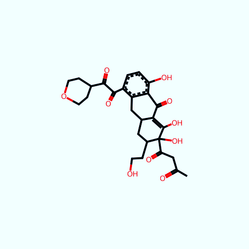 CC(=O)CC(=O)C1(O)C(O)=C2C(=O)c3c(O)ccc(C(=O)C(=O)C4CCOCC4)c3CC2CC1CCO